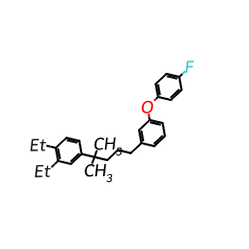 CCc1ccc(C(C)(C)CCCc2cccc(Oc3ccc(F)cc3)c2)cc1CC